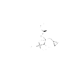 CSC(SC)(SC)C(O)[C@H](CC1CC1)NC(=O)OC(C)(C)C